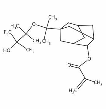 C=C(C)C(=O)OC1C2CC3CC1CC(C(C)(C)OC(C)(C)C(O)(C(F)(F)F)C(F)(F)F)(C3)C2